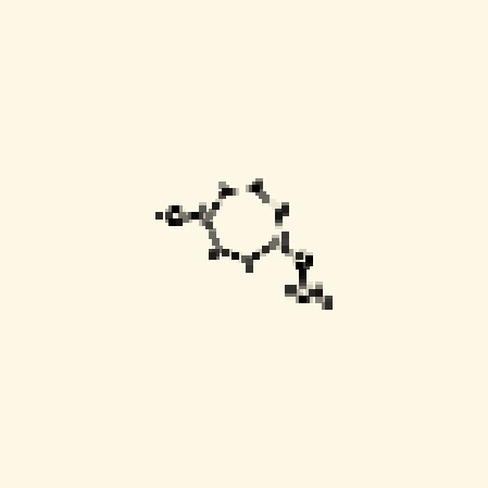 COC1CCCC(=O)CC1